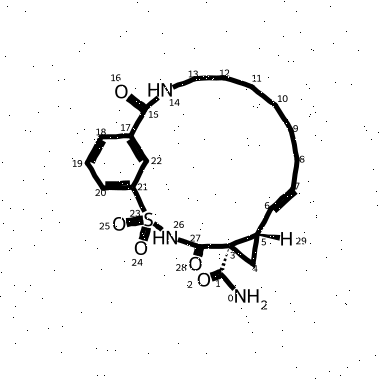 NC(=O)[C@@]12C[C@H]1/C=C/CCCCCCNC(=O)c1cccc(c1)S(=O)(=O)NC2=O